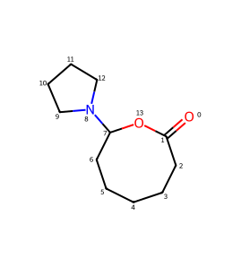 O=C1CCCCCC(N2CCCC2)O1